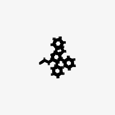 CCCc1cc2c(c(-c3ccccc3)c1-c1ccccc1)Cc1ccccc1-2